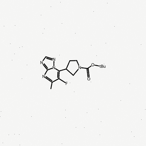 Cc1nc2ncnn2c(C2CCN(C(=O)OC(C)(C)C)C2)c1F